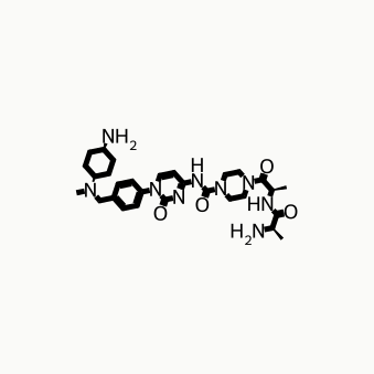 C[C@@H](N)C(=O)N[C@H](C)C(=O)N1CCN(C(=O)Nc2ccn(-c3ccc(CN(C)[C@H]4CC[C@H](N)CC4)cc3)c(=O)n2)CC1